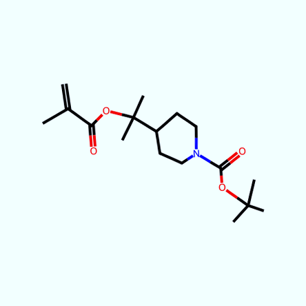 C=C(C)C(=O)OC(C)(C)C1CCN(C(=O)OC(C)(C)C)CC1